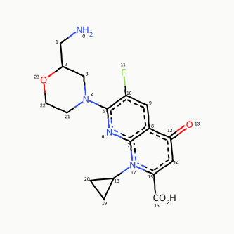 NCC1CN(c2nc3c(cc2F)c(=O)cc(C(=O)O)n3C2CC2)CCO1